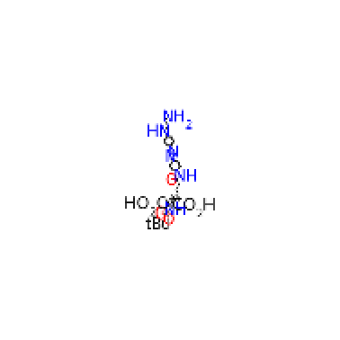 CC(C)(C)OC(=O)N[C@@H](C[C@H](CCCC(=O)Nc1ccc(/N=N/c2ccc(NCCN)cc2)cc1)C(=O)O)C(=O)O